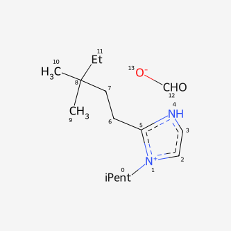 CCCC(C)[n+]1cc[nH]c1CCC(C)(C)CC.O=C[O-]